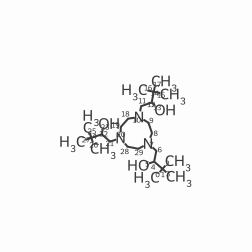 CC(C)(C)C(O)CN1CCN(CC(O)C(C)(C)C)CCN(CC(O)C(C)(C)C)CC1